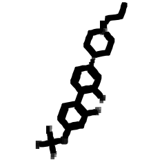 CCC[Si@H]1CC[C@H](c2ccc(-c3ccc(OC(F)(F)F)cc3F)c(F)c2)CC1